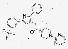 O=C(Cn1cc(-c2cccc(C(F)(F)F)c2)nc1-c1ccccc1)N1CCN(c2ncccn2)CC1